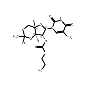 Cc1cn([C@@H]2O[C@@H]3COC(C)(C)O[C@@H]3[C@H]2OC(=S)SCCC#N)c(=O)[nH]c1=O